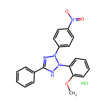 COc1ccccc1N1NC(c2ccccc2)=NN1c1ccc([N+](=O)[O-])cc1.Cl